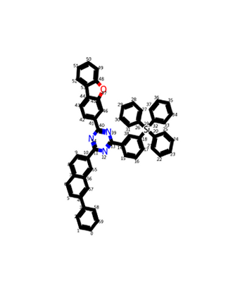 c1ccc(-c2ccc3ccc(-c4nc(-c5cccc([Si](c6ccccc6)(c6ccccc6)c6ccccc6)c5)nc(-c5ccc6c(c5)oc5ccccc56)n4)cc3c2)cc1